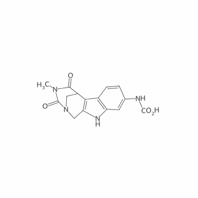 CN1C(=O)C2CN(Cc3[nH]c4cc(NC(=O)O)ccc4c32)C1=O